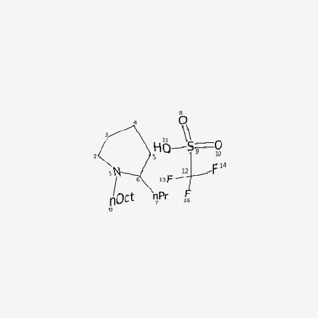 CCCCCCCCN1CCCCC1CCC.O=S(=O)(O)C(F)(F)F